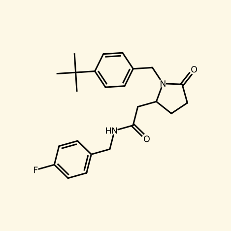 CC(C)(C)c1ccc(CN2C(=O)CCC2CC(=O)NCc2ccc(F)cc2)cc1